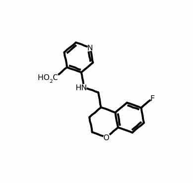 O=C(O)c1ccncc1NCC1CCOc2ccc(F)cc21